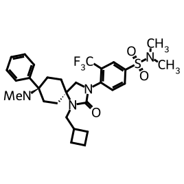 CN[C@]1(c2ccccc2)CC[C@]2(CC1)CN(c1ccc(S(=O)(=O)N(C)C)cc1C(F)(F)F)C(=O)N2CC1CCC1